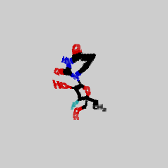 C=C[C@]1(CO)O[C@@H](n2ccc(=O)[nH]c2=O)[C@H](O)[C@@H]1F